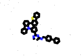 C=N/C(=N\C(C)=N/Cc1ccc(-c2ccccc2)cc1)c1cccc(-n2c3ccccc3c3cccc(-c4cccc5c4sc4ccccc45)c32)c1